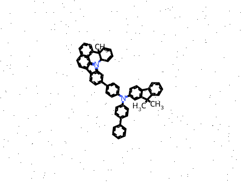 CC1(C)c2ccccc2-c2ccc(N(c3ccc(-c4ccccc4)cc3)c3ccc(-c4ccc5c6ccc7cccc8c7c6n(c5c4)C4C=CC=CC84C)cc3)cc21